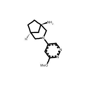 COc1cc(N2C[C@H]3CC[C@@](N)(C3)C2)cnn1